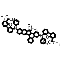 CC(C)c1cccc2c1oc1c(N(c3ccccc3)c3ccc4cc5c(cc4c3)C(C)(C)c3c-5c4ccccc4c4cc(N(c5ccccc5)c5cccc6c5oc5c(C(C)C)cccc56)ccc34)cccc12